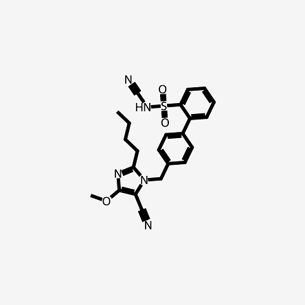 CCCCc1nc(OC)c(C#N)n1Cc1ccc(-c2ccccc2S(=O)(=O)NC#N)cc1